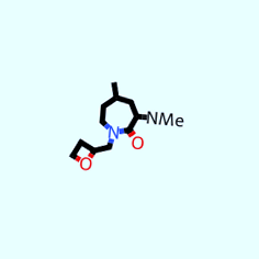 CNC1CC(C)CCN(CC2CCO2)C1=O